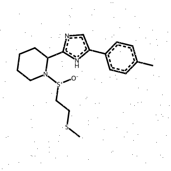 CSCC[S+]([O-])N1CCCCC1c1ncc(-c2ccc(C)cc2)[nH]1